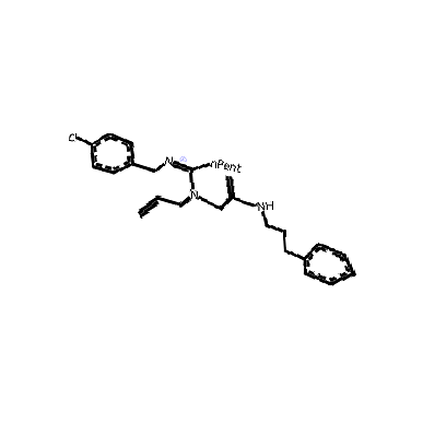 C=CCN(CC(=C)NCCCc1ccccc1)/C(CCCCC)=N\Cc1ccc(Cl)cc1